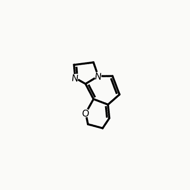 C1=CN2CC=NC2=C2OCCC=C12